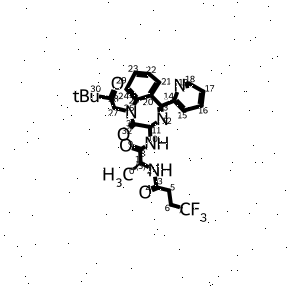 C[C@H](NC(=O)CCC(F)(F)F)C(=O)NC1N=C(c2ccccn2)c2ccccc2N(CC(=O)C(C)(C)C)C1=O